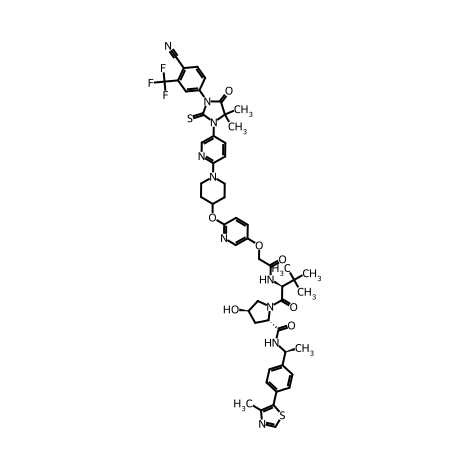 Cc1ncsc1-c1ccc([C@H](C)NC(=O)[C@@H]2C[C@@H](O)CN2C(=O)[C@@H](NC(=O)COc2ccc(OC3CCN(c4ccc(N5C(=S)N(c6ccc(C#N)c(C(F)(F)F)c6)C(=O)C5(C)C)cn4)CC3)nc2)C(C)(C)C)cc1